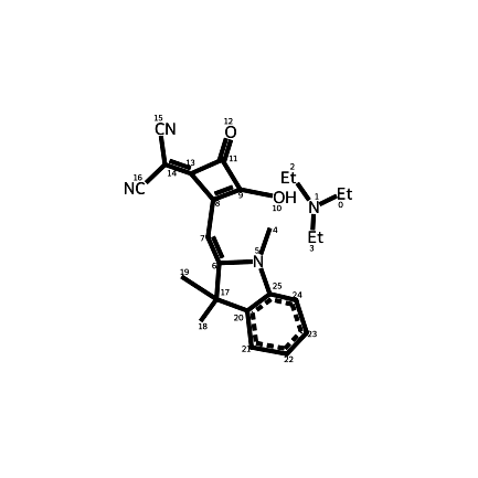 CCN(CC)CC.CN1C(=CC2=C(O)C(=O)C2=C(C#N)C#N)C(C)(C)c2ccccc21